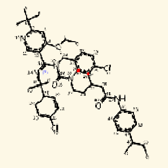 CCOc1cc(C(C)(C)C)ncc1/C(=N/C(C)(C)C1C=CC(Cl)=CC1)N(Cc1ccc(Cl)cc1)C(=O)N1CCC(CC(=O)Nc2ccc(C(C)CC)cc2)CC1